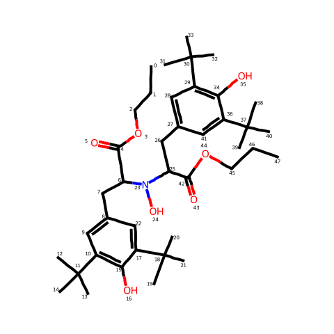 CCCOC(=O)C(Cc1cc(C(C)(C)C)c(O)c(C(C)(C)C)c1)N(O)C(Cc1cc(C(C)(C)C)c(O)c(C(C)(C)C)c1)C(=O)OCCC